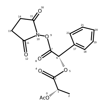 CC(=O)O[C@@H](C)C(=O)O[C@H](C(=O)ON1C(=O)CCC1=O)c1ccccc1